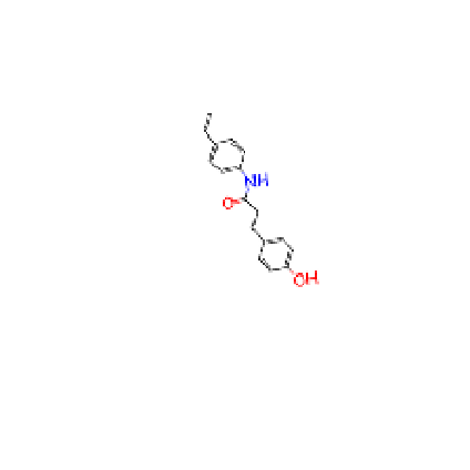 C=Cc1ccc(NC(=O)CCc2ccc(O)cc2)cc1